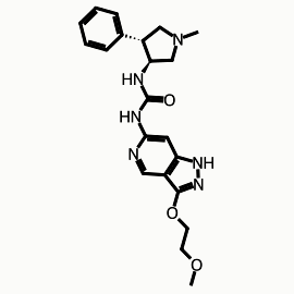 COCCOc1n[nH]c2cc(NC(=O)N[C@@H]3CN(C)C[C@H]3c3ccccc3)ncc12